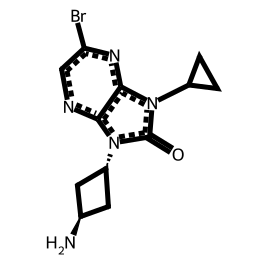 N[C@H]1C[C@H](n2c(=O)n(C3CC3)c3nc(Br)cnc32)C1